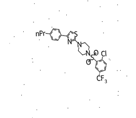 CCCc1ccc(-c2csc(N3CCN(S(=O)(=O)c4cc(C(F)(F)F)ccc4Cl)CC3)n2)cc1